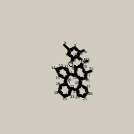 Cc1cc(C)c2c(c1)oc1c3c4ccccc4c4ccccc4c4ccccc4c3cc(C)c1n2C